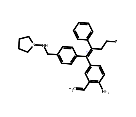 C=Cc1cc(/C(=C(\CCF)c2ccccc2)c2ccc(CNN3CCCC3)cc2)ccc1N